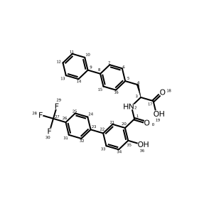 O=C(N[C@@H](Cc1ccc(-c2ccccc2)cc1)C(=O)O)c1cc(-c2ccc(C(F)(F)F)cc2)ccc1O